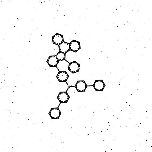 c1ccc(-c2ccc(N(c3ccc(-c4ccccc4)cc3)c3ccc(-c4cccn5c4c(-c4ccccc4)c4c6ccccc6c6ccccc6c45)cc3)cc2)cc1